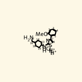 COc1ccccc1-c1csc(NC2CCC(CN)CC2)n1.Cl.[H+].[H+]